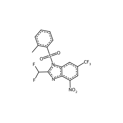 Cc1ccccc1S(=O)(=O)n1c(C(F)F)nc2c([N+](=O)[O-])cc(C(F)(F)F)cc21